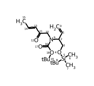 C=CC(CO[Si](C)(C)C(C)(C)C)N(CC(=O)C=CC)C(=O)OC(C)(C)C